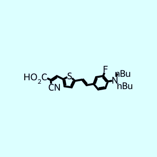 CCCCN(CCCC)c1ccc(/C=C/c2ccc(/C=C(\C#N)C(=O)O)s2)cc1F